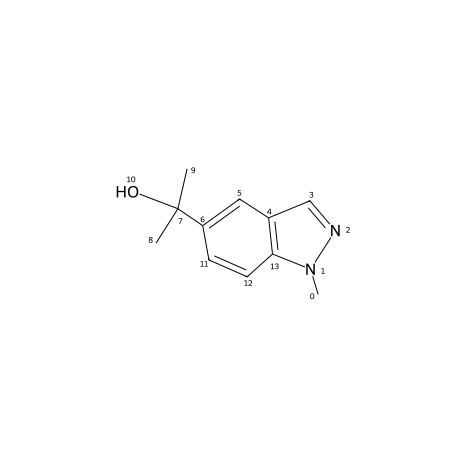 Cn1ncc2cc(C(C)(C)O)ccc21